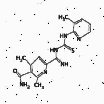 Cc1cccnc1NC(=S)NC(=N)c1cc(C)c(C(N)=O)c(C)n1